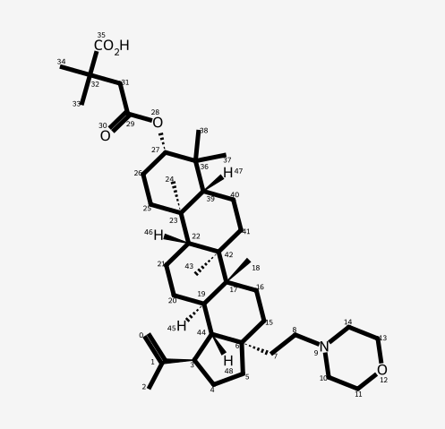 C=C(C)[C@@H]1CC[C@]2(CCN3CCOCC3)CC[C@]3(C)[C@H](CC[C@@H]4[C@@]5(C)CC[C@H](OC(=O)CC(C)(C)C(=O)O)C(C)(C)[C@@H]5CC[C@]43C)[C@@H]12